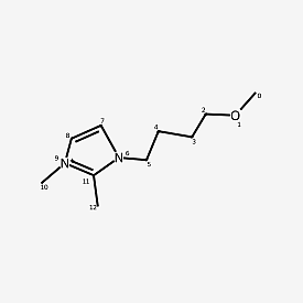 COCCCCn1cc[n+](C)c1C